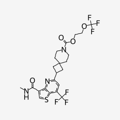 CNC(=O)c1csc2c(C(F)(F)F)cc(C3CC4(CCN(C(=O)OCCOC(F)(F)F)CC4)C3)nc12